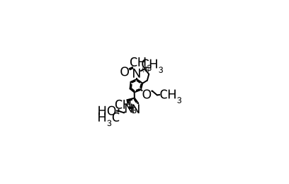 CCCOc1c(-c2cnn(CC(C)(C)O)c2)ccc2c1CC[C@H](C)N2C(C)=O